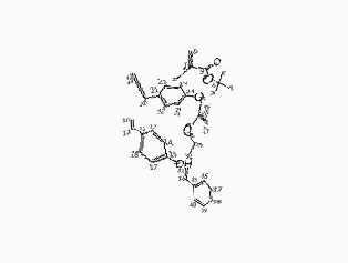 C=C(C)C(=O)OC(C)(C)C.C=Cc1ccc(O)cc1.C=Cc1ccc(OC(C)OCC)cc1.C=Cc1ccccc1